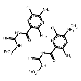 CCOC(=O)NC(=N)NC(=O)c1nc(Cl)c(N)nc1N.CCOC(=O)NC(=N)NC(=O)c1nc(Cl)c(N)nc1N.O